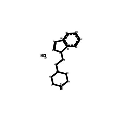 C1=CC(CCC2CCNCC2)c2ccccc21.Cl